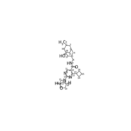 CC1CC2CC(CNC(=O)c3cnc(N4C[C@@H]5C[C@H]4CO5)nc3C3CCC3)C[C@@](O)(C1)C2